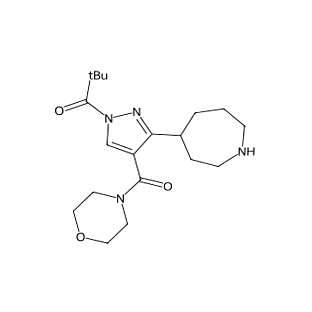 CC(C)(C)C(=O)n1cc(C(=O)N2CCOCC2)c(C2CCCNCC2)n1